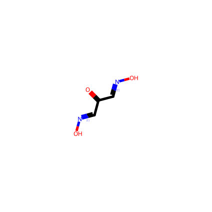 O=C(/C=N/O)/C=N/O